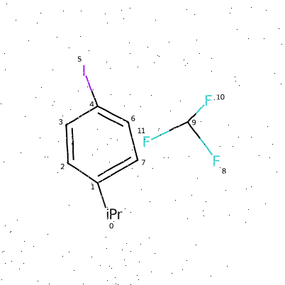 CC(C)c1ccc(I)cc1.FC(F)F